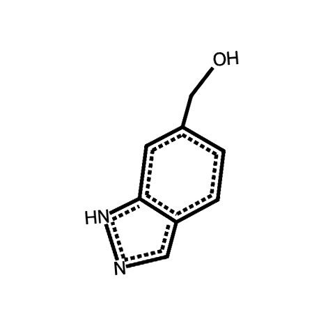 OCc1ccc2cn[nH]c2c1